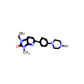 CC(=O)N1CCN(c2ccc(-c3ccc4c(n3)n(C)c(=O)n4CC(C)(C)C)cc2)CC1